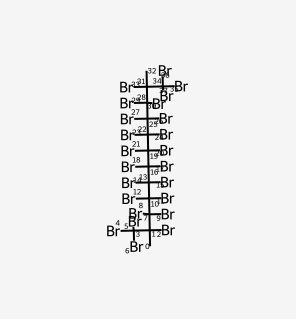 CC(Br)(C(Br)(Br)Br)C(Br)(Br)C(Br)(Br)C(Br)(Br)C(Br)(Br)C(Br)(Br)C(Br)(Br)C(Br)(Br)C(Br)(Br)C(C)(Br)C(Br)(Br)Br